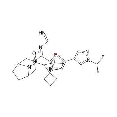 N=C/N=C(\c1cc(-c2cnn(C(F)F)c2)c[nH]1)N1CC2CCC(C1)N2C(=O)C1C(F)(F)C12CCC2